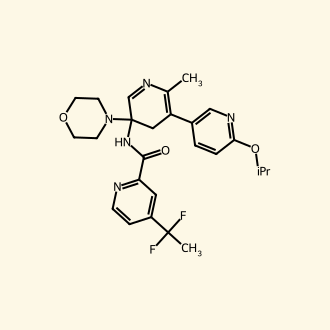 CC1=C(c2ccc(OC(C)C)nc2)CC(NC(=O)c2cc(C(C)(F)F)ccn2)(N2CCOCC2)C=N1